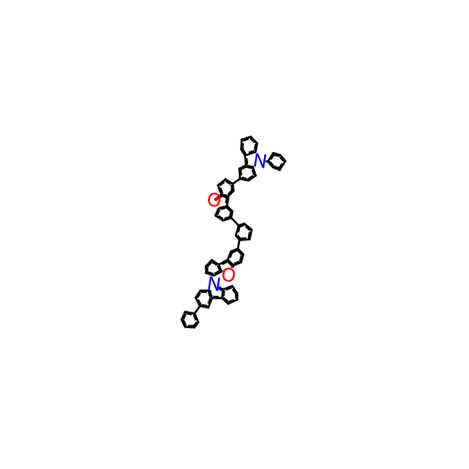 c1ccc(-c2ccc3c(c2)c2ccccc2n3-c2cccc3c2oc2ccc(-c4cccc(-c5ccc6oc7ccc(-c8ccc9c(c8)c8ccccc8n9-c8ccccc8)cc7c6c5)c4)cc23)cc1